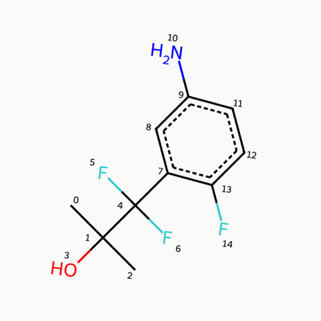 CC(C)(O)C(F)(F)c1cc(N)ccc1F